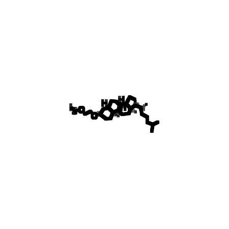 CC(C)CCC[C@@H](C)[C@H]1CCC2[C@@H]3CC[C@H]4C[C@@H](OCCOSI)CC[C@]4(C)[C@H]3CC[C@@]21C